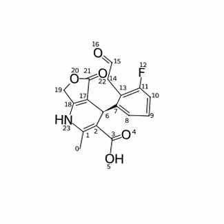 CC1=C(C(=O)O)[C@H](c2cccc(F)c2CC=O)C2=C(COC2=O)N1